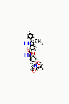 Cc1c(-c2ccccc2)[nH]c2cc(S(=O)(=O)NC3CCC(C(=O)N4CCOCC4C4CC4)CC3)ccc12